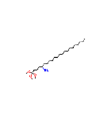 CCCCCCCCCCCCCCCCCC(N)CCC[Si](OC)(OC)OC